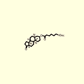 CCCCCCCCCCCCCCCC(=O)O[C@@H]1CC[C@@]2(C)[C@@H](CC[C@@H]3[C@@H]2CC[C@]2(C)C(=O)CC[C@@H]32)C1